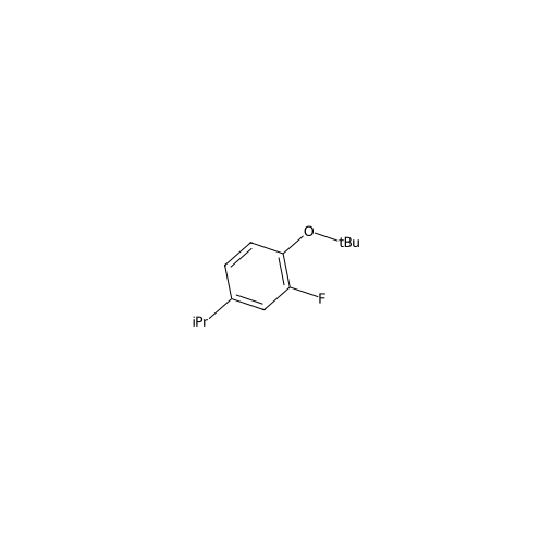 CC(C)c1ccc(OC(C)(C)C)c(F)c1